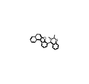 CC1N=c2ccccc2=C(c2cccc3c4c(oc23)=CCC2C=CC=CC=42)N1C